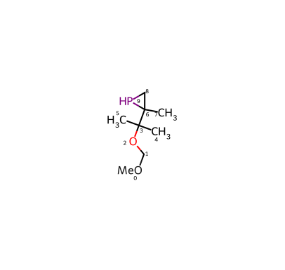 COCOC(C)(C)C1(C)CP1